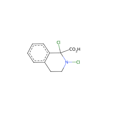 O=C(O)C1(Cl)c2ccccc2CCN1Cl